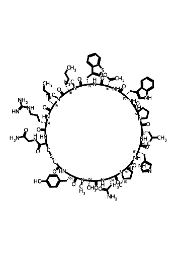 C=C(O)[C@@H]1NC(=O)[C@H](Cc2c[nH]c3ccccc23)NC(=O)[C@@H]2CCCN2C(=O)[C@H](CC(C)C)NC(=O)[C@H](Cc2cnc[nH]2)NC(=O)[C@@H]2CC[C@H](C)N2C(=O)[C@H](CC(N)=O)NC(=O)[C@H](C)N(C)C(=O)[C@H](Cc2ccc(O)cc2)NC(=O)CSCC(C(=O)NCC(N)=O)NC(=O)[C@H](CCCNC(=N)N)NC(=O)[C@H](CCCC)N(C)C(=O)[C@H](CCCC)N(C)C(=O)[C@H](Cc2csc3ccccc23)NC1=O